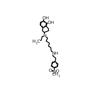 CCCN(CCCCCCNCCc1ccc(S(C)(=O)=O)cc1)C1CCc2c(ccc(O)c2O)C1